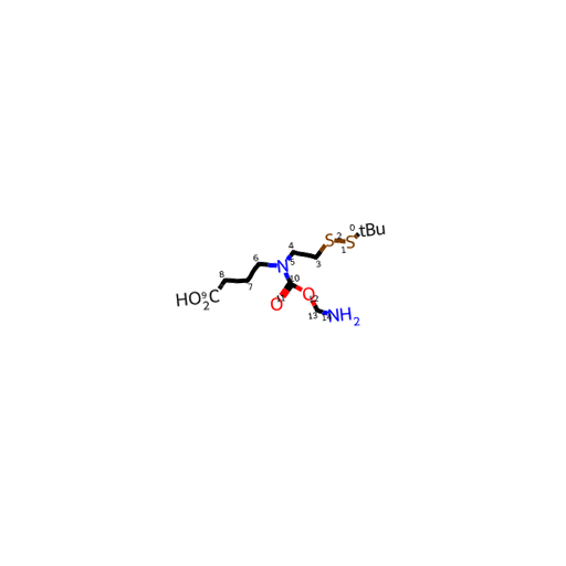 CC(C)(C)SSCCN(CCCC(=O)O)C(=O)OCN